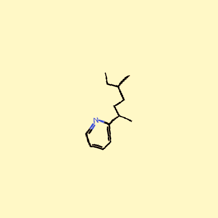 CCC(C)CCC(C)c1ccccn1